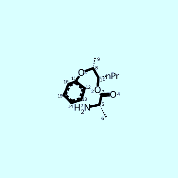 CCC[C@H](OC(=O)[C@H](C)N)[C@@H](C)Oc1ccccc1